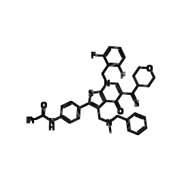 CC(C)C(=O)Nc1ccc(-c2sc3c(c2CN(C)Cc2ccccc2)c(=O)c(C(=S)C2CCOCC2)cn3Cc2c(F)cccc2F)cc1